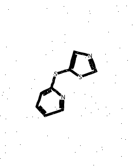 c1ccc(Sc2cncs2)nc1